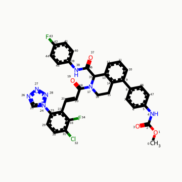 COC(=O)Nc1ccc(-c2cccc3c2CCN(C(=O)C=Cc2c(-n4cnnn4)ccc(Cl)c2F)C3C(=O)Nc2ccc(F)cc2)cc1